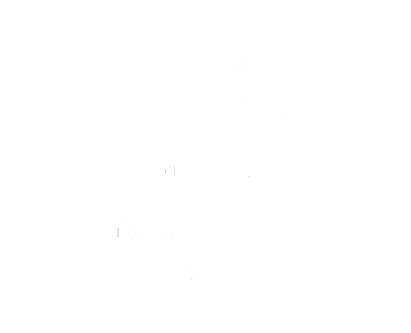 CCCC1(CC(Cl)C(=O)O)C=CC(=O)C=C1